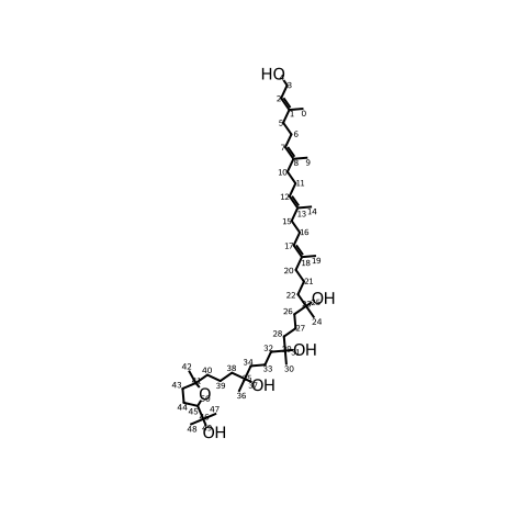 C/C(=C\CO)CC/C=C(\C)CC/C=C(\C)CC/C=C(\C)CCCC(C)(O)CCCC(C)(O)CCCC(C)(O)CCCC1(C)CCC(C(C)(C)O)O1